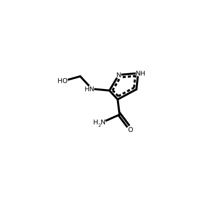 NC(=O)c1c[nH]nc1NCO